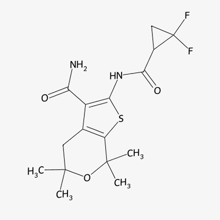 CC1(C)Cc2c(sc(NC(=O)C3CC3(F)F)c2C(N)=O)C(C)(C)O1